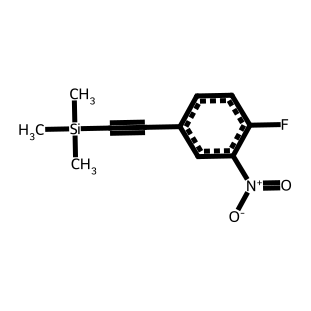 C[Si](C)(C)C#Cc1ccc(F)c([N+](=O)[O-])c1